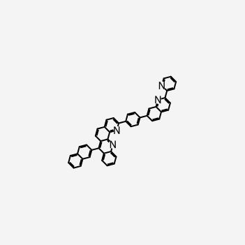 c1ccc(-c2ccc3ccc(-c4ccc(-c5ccc6ccc7c(-c8ccc9ccccc9c8)c8ccccc8nc7c6n5)cc4)cc3n2)nc1